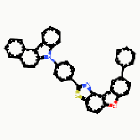 c1ccc(-c2ccc3oc4ccc5sc(-c6ccc(-n7c8ccccc8c8c9ccccc9ccc87)cc6)nc5c4c3c2)cc1